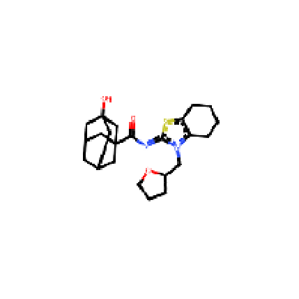 O=C(/N=c1\sc2c(n1CC1CCCO1)CCCC2)C12CC3CC(CC(O)(C3)C1)C2